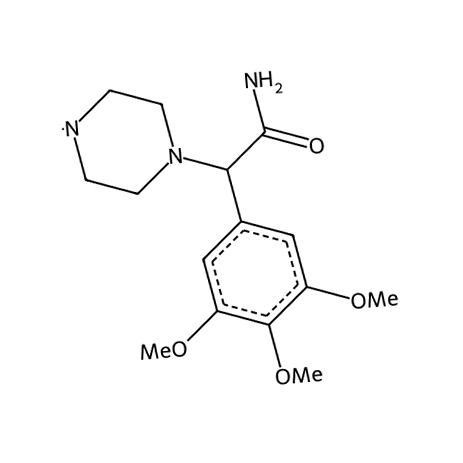 COc1cc(C(C(N)=O)N2CC[N]CC2)cc(OC)c1OC